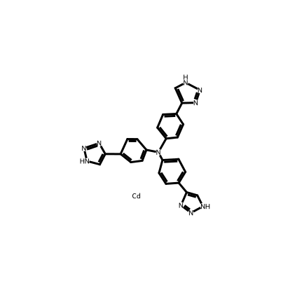 [Cd].c1cc(N(c2ccc(-c3c[nH]nn3)cc2)c2ccc(-c3c[nH]nn3)cc2)ccc1-c1c[nH]nn1